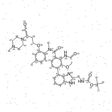 COc1c(-c2cccc3[nH]c(CNC(=O)OC(C)(C)C)nc23)ccc(C(=O)N(C)c2ccc(C)cc2OCCC(=C=O)N2CCN(C)CC2)c1NC=O